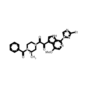 CCc1ncn(-c2ncc(OC)c3c(C(=O)C(=O)N4CCN(C(=O)c5ccccc5)[C@H](C)C4)c[nH]c23)n1